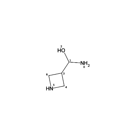 NC(O)C1CNC1